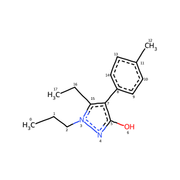 CCCn1nc(O)c(-c2ccc(C)cc2)c1CC